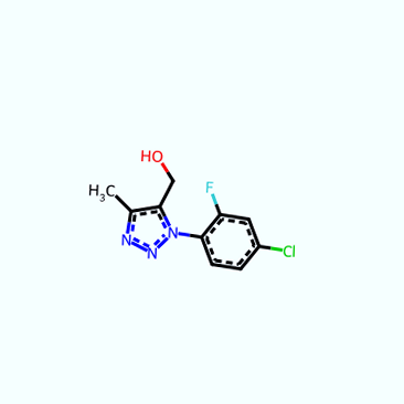 Cc1nnn(-c2ccc(Cl)cc2F)c1CO